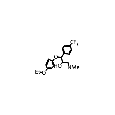 CCOc1ccc(OC(c2ccc(C(F)(F)F)cc2)C(O)CNC)cc1